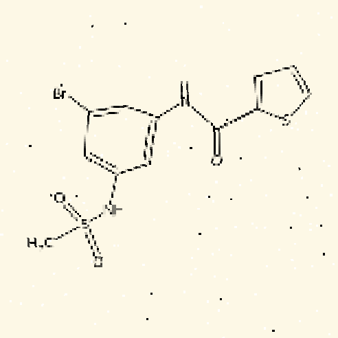 CS(=O)(=O)Nc1cc(Br)cc(NC(=O)c2cccs2)c1